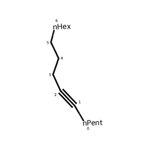 [CH2]CCCCC#CCC[CH]CCCCCC